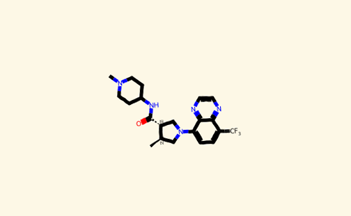 C[C@@H]1CN(c2ccc(C(F)(F)F)c3nccnc23)C[C@H]1C(=O)NC1CCN(C)CC1